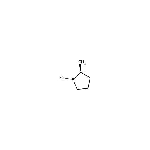 CCB1CCC[C@@H]1C